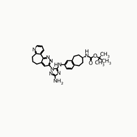 CC(C)(C)OC(=O)N[C@H]1CCc2ccc(Nc3nc(N)nn3-c3cc4c(nn3)-c3cccnc3CCC4)cc2CC1